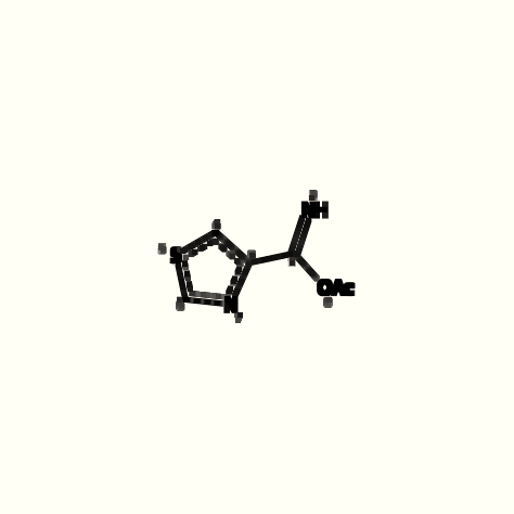 CC(=O)OC(=N)c1cs[c]n1